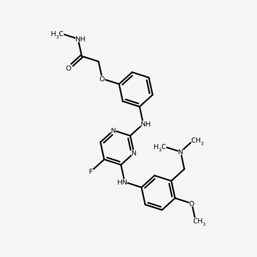 CNC(=O)COc1cccc(Nc2ncc(F)c(Nc3ccc(OC)c(CN(C)C)c3)n2)c1